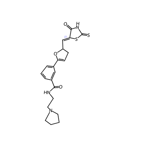 O=C1NC(=S)S/C1=C\C1CC=C(c2cccc(C(=O)NCCN3CCCC3)c2)O1